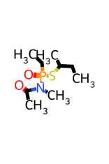 CCC(C)SP(=O)(CC)N(C)C(C)=O